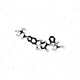 COc1cc2cn(C(=O)OC(C)(C)C)cc2cc1Nc1ncc(Cl)c(Nc2ccccc2S(=O)(=O)C(C)C)n1